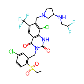 CCS(=O)(=O)c1ccc(Cl)cc1Cn1c(=O)[nH]c2c(Cl)c(CN3CC[C@@H](NCC(F)F)C3)c(C(F)(F)F)cc2c1=O